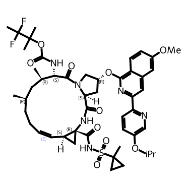 COc1ccc2c(O[C@@H]3C[C@H]4C(=O)N[C@]5(C(=O)NS(=O)(=O)C6(C)CC6)C[C@H]5/C=C\CC[C@@H](C)C[C@@H](C)[C@H](NC(=O)OC(C)(C)C(C)(F)F)C(=O)N4C3)nc(-c3ccc(OC(C)C)cn3)cc2c1